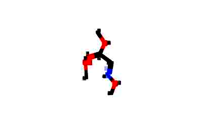 CO.CO/N=C/C(=O)OC